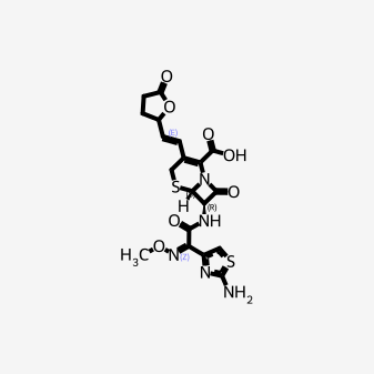 CO/N=C(\C(=O)N[C@@H]1C(=O)N2C(C(=O)O)=C(/C=C/C3CCC(=O)O3)CS[C@@H]12)c1csc(N)n1